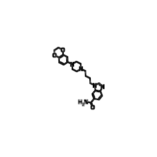 NC(=O)c1ccc2ncn(CCCCN3CCN(c4ccc5c(c4)OCCO5)CC3)c2c1